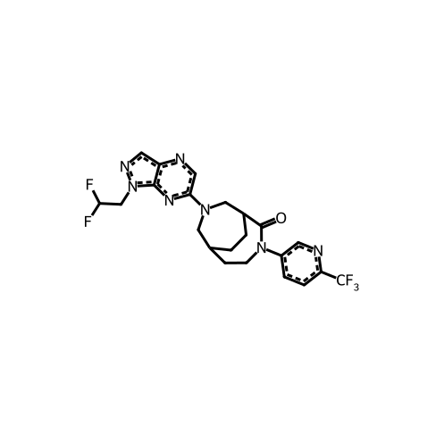 O=C1C2CCC(CCN1c1ccc(C(F)(F)F)nc1)CN(c1cnc3cnn(CC(F)F)c3n1)C2